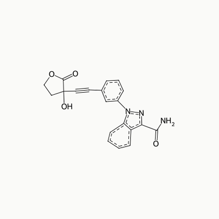 NC(=O)c1nn(-c2cccc(C#CC3(O)CCOC3=O)c2)c2ccccc12